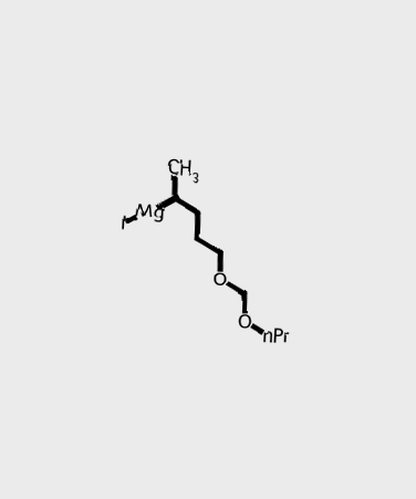 CCCOCOCCC[CH](C)[Mg][I]